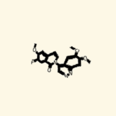 COc1cc2c(cc1F)C(=O)N(c1cnnc3cc(OC)c(OC)cc13)CC2